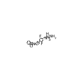 NC(=S)NN=Cc1cc(F)c(N2CC[C@H](NCc3ccccc3Cl)C2)cc1F